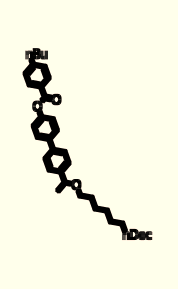 CCCCCCCCCCCCCCCCOC(C)c1ccc(-c2ccc(OC(=O)c3ccc(CCCC)cc3)cc2)cc1